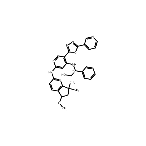 COC1OC(C)(C)c2nc(Nc3cc(N[C@H](CO)c4ccccc4)c(-c4nnc(-c5cccnc5)o4)cn3)ccc21